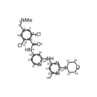 CNCc1cc(Cl)c(C(=O)Nc2ccnc(Nc3cc(C)nc(N4CCOCC4)n3)c2)c(Cl)c1